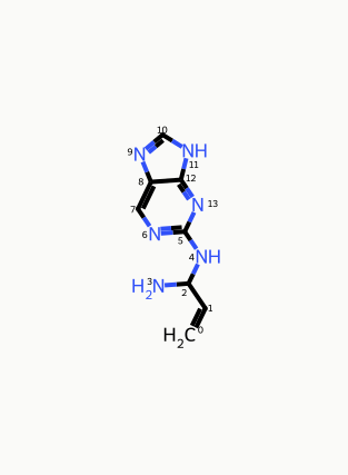 C=CC(N)Nc1ncc2nc[nH]c2n1